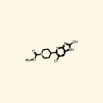 CC(C)(C)OC(=O)N1CCC(c2nc3nc(O)[nH]c3cc2Cl)CC1